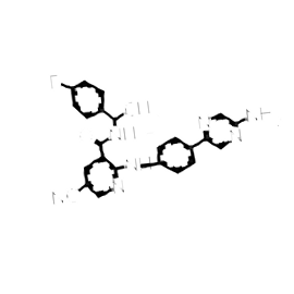 CC(NC(=O)c1cc(C#N)cnc1NCc1ccc(-c2cnc(N)cn2)cc1F)c1ccc(F)cc1